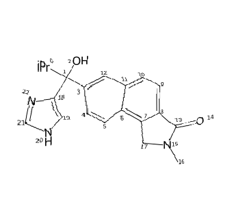 CC(C)C(O)(c1ccc2c3c(ccc2c1)C(=O)N(C)C3)c1c[nH]cn1